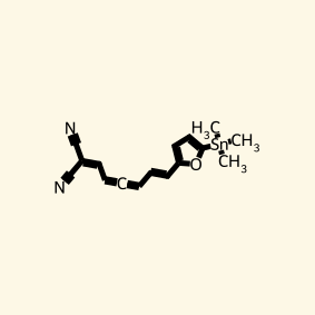 [CH3][Sn]([CH3])([CH3])[c]1ccc(C=CC=C=CC=C(C#N)C#N)o1